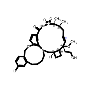 CO[C@@]1(CCO)/C=C/C[C@H](C)[C@@H](C)S(=O)(=O)NC(=O)c2ccc3c(c2)N(CCCCc2cc(Cl)ccc2CO3)C[C@@H]2CC[C@H]21